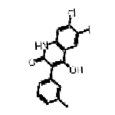 Cc1cccc(-c2c(O)c3cc(I)c(Cl)cc3[nH]c2=O)c1